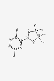 Cc1ccc(F)c(B2OC(C)(C)C(C)(C)O2)c1